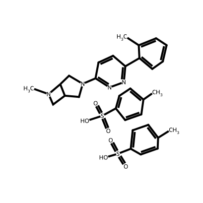 Cc1ccc(S(=O)(=O)O)cc1.Cc1ccc(S(=O)(=O)O)cc1.Cc1ccccc1-c1ccc(N2CC3CN(C)C3C2)nn1